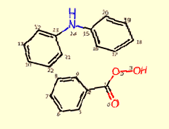 O=C(OO)c1ccccc1.c1ccc(Nc2ccccc2)cc1